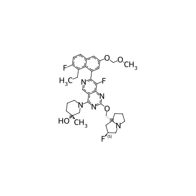 CCc1c(F)ccc2cc(OCOC)cc(-c3ncc4c(N5CCC[C@@](C)(O)C5)nc(OC[C@]56CCCN5C[C@@H](F)C6)nc4c3F)c12